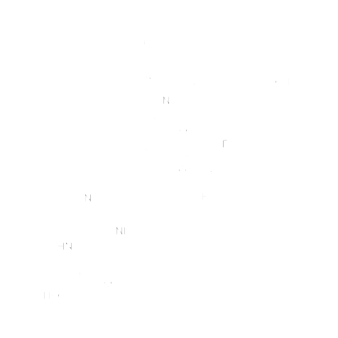 Cc1ccc(N2C(=O)c3ccccc3C2(OC(=O)C(F)(F)F)c2ccc3[nH]c(NC(=O)O)nc3c2)cc1